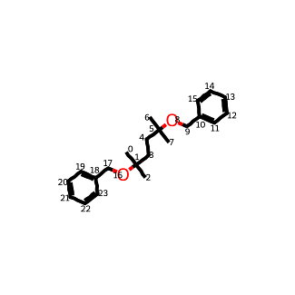 CC(C)(CCC(C)(C)OCc1ccccc1)OCc1ccccc1